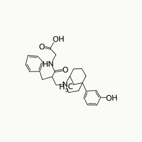 CC1C2CCCC1(c1cccc(O)c1)CCN2CC(Cc1ccccc1)C(=O)NCC(=O)O